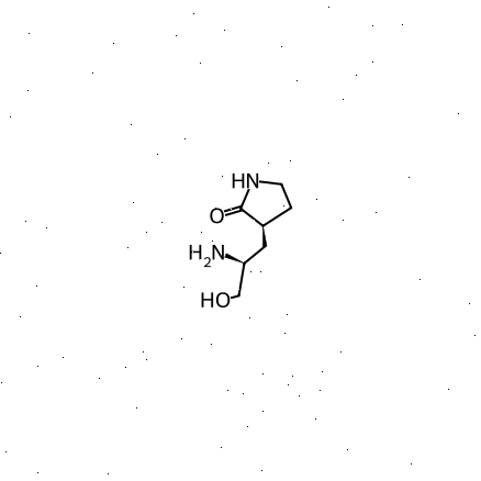 N[C@H](CO)C[C@@H]1CCNC1=O